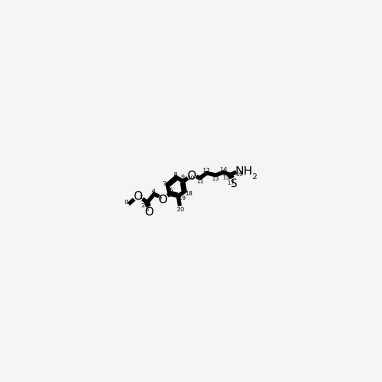 COC(=O)COc1ccc(OCCCCC(N)=S)cc1C